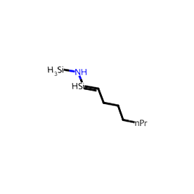 CCCCCCC=[SiH]N[SiH3]